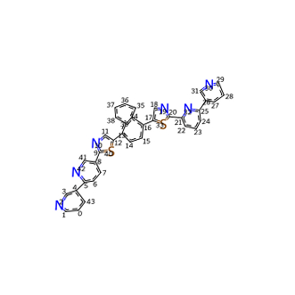 c1cncc(-c2ccc(-c3ncc(-c4ccc(-c5cnc(-c6cccc(-c7cccnc7)n6)s5)c5ccccc45)s3)cn2)c1